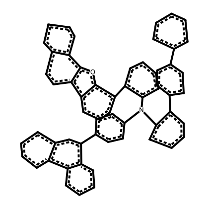 c1ccc(-c2ccc(-c3ccccc3N(c3ccc(-c4cc5ccccc5c5ccccc45)cc3)c3ccccc3-c3cccc4c3oc3c5ccccc5ccc43)cc2)cc1